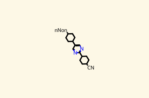 CCCCCCCCCC1CCC(c2cnc(C3CCC(C#N)CC3)nc2)CC1